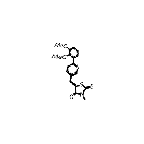 COc1cccc(-c2ccc(/C=C3\SC(=S)N(C)C3=O)cn2)c1OC